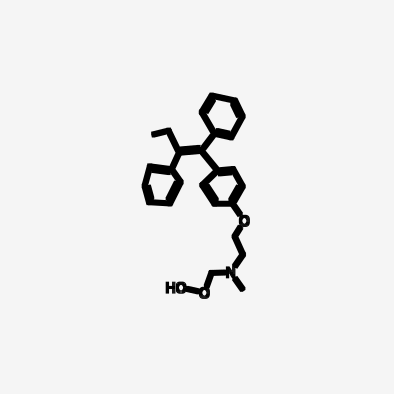 CC/C(=C(\c1ccccc1)c1ccc(OCCN(C)COO)cc1)c1ccccc1